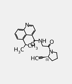 C#C[C@@H]1CCCN1C(=O)CNC(=O)c1ccnc2cccc(C(C)C)c12